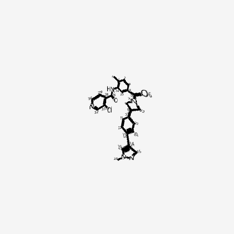 Cc1ccc(C(=O)N2CC(c3ccc(-c4cnn(C)c4)cc3)C2)cc1NC(=O)c1ccncc1Cl